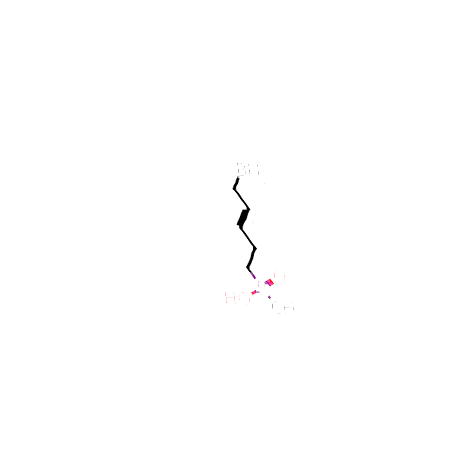 BC/C=C/CCP(C)(=O)O